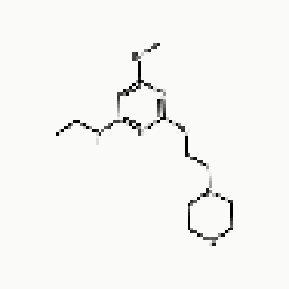 CCNc1cc(NC)nc(OCCN2CCOCC2)n1